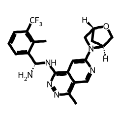 Cc1c([C@@H](N)Nc2nnc(C)c3cnc(N4C[C@H]5C[C@H]4CO5)cc23)cccc1C(F)(F)F